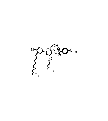 CCCCO[C@@H]1C[C@H](C2CC=C(Cl)C(CCCCCOCC)C2)OC(CO)(COS(=O)(=O)c2ccc(C)cc2)C1